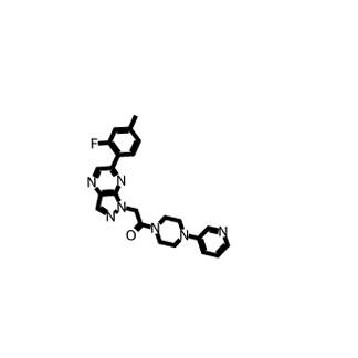 Cc1ccc(-c2cnc3cnn(CC(=O)N4CCN(c5cccnc5)CC4)c3n2)c(F)c1